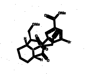 C#CCN1C[C@H](COC)[C@H]2CCC[C@@H](C1=O)N2S(=O)(=O)c1cc(Br)cc(C(=O)OC)c1